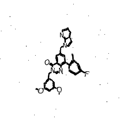 COc1cc(Cn2cnc3c(-c4ccc(F)cc4C)cc(Cn4ccc5cccnc54)cc3c2=O)cc(OC)c1